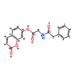 O=C(Cc1ccccc1)NCC(=O)Oc1ccc2ccc(=O)oc2c1